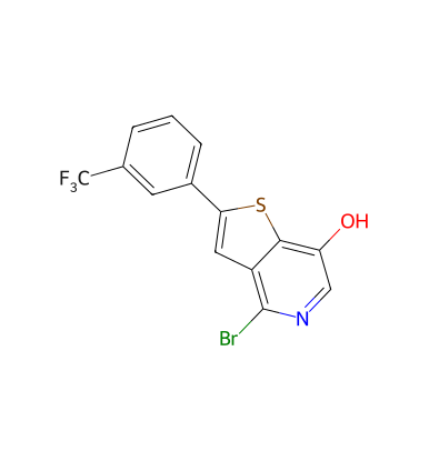 Oc1cnc(Br)c2cc(-c3cccc(C(F)(F)F)c3)sc12